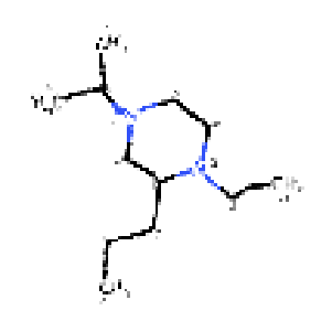 CCCC1CN(C(C)C)CCN1CC